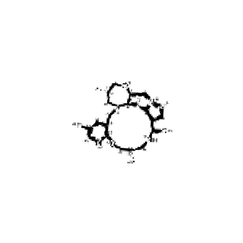 C[C@@H]1COc2cn3ncc4c3nc2N(Cc2cc(F)cnc2OC[C@@H](C)CNC4=O)C1